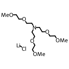 COCCOCCN(CCOCCOC)CCOCCOC.[Li][Cl]